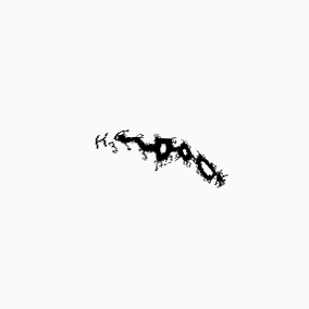 CCCCc1ccc(-c2ccc([C@H]3CC[C@H](C=CF)CC3)cc2)cc1